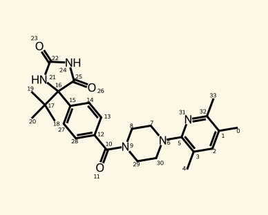 Cc1cc(C)c(N2CCN(C(=O)c3ccc(C4(C(C)(C)C)NC(=O)NC4=O)cc3)CC2)nc1C